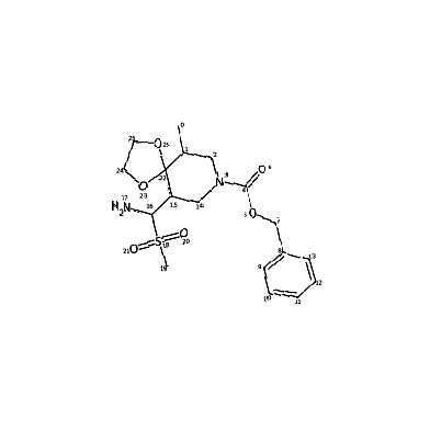 CC1CN(C(=O)OCc2ccccc2)CC(C(N)S(C)(=O)=O)C12OCCO2